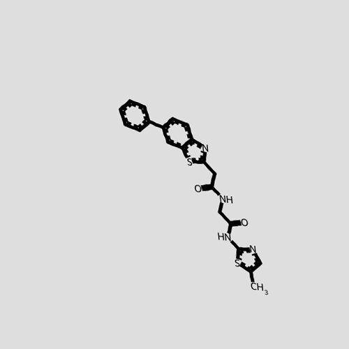 Cc1cnc(NC(=O)CNC(=O)Cc2nc3ccc(-c4ccccc4)cc3s2)s1